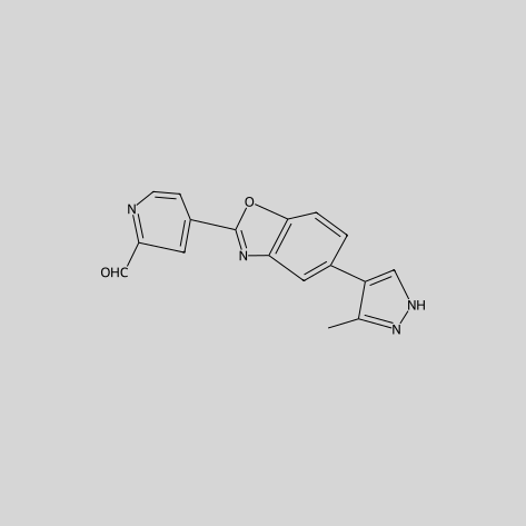 Cc1n[nH]cc1-c1ccc2oc(-c3ccnc(C=O)c3)nc2c1